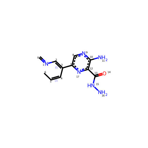 C=N/C=C(\C=C/C)c1cnc(N)c(C(=O)NN)n1